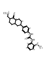 O=C(O)CC1CCC2CC(c3ccc(NC(=O)Nc4ccccc4OC(F)(F)F)cc3)CCC2C1=O